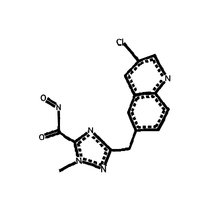 Cn1nc(Cc2ccc3ncc(Cl)cc3c2)nc1C(=O)N=O